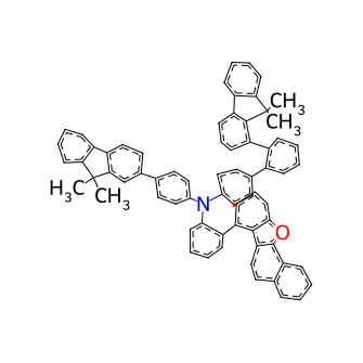 CC1(C)c2ccccc2-c2ccc(-c3ccc(N(c4ccc(-c5ccccc5-c5cccc6c5C(C)(C)c5ccccc5-6)cc4)c4ccccc4-c4cccc5oc6c7ccccc7ccc6c45)cc3)cc21